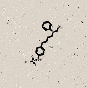 CCN(CCCCc1ccc(NS(C)(=O)=O)cc1)c1ccccc1.Cl